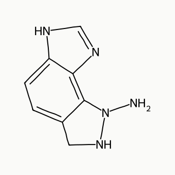 NN1NCc2ccc3[nH]cnc3c21